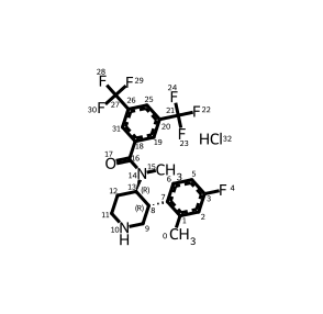 Cc1cc(F)ccc1[C@@H]1CNCC[C@H]1N(C)C(=O)c1cc(C(F)(F)F)cc(C(F)(F)F)c1.Cl